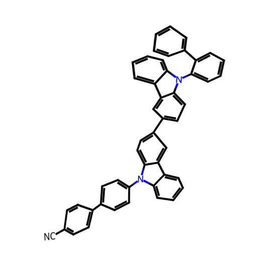 N#Cc1ccc(-c2ccc(-n3c4ccccc4c4cc(-c5ccc6c(c5)c5ccccc5n6-c5ccccc5-c5ccccc5)ccc43)cc2)cc1